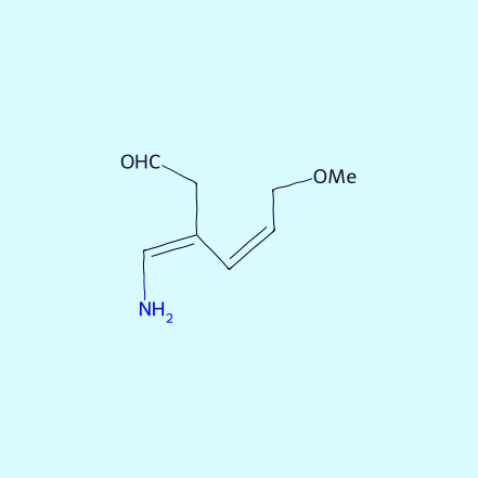 COC/C=C\C(=C/N)CC=O